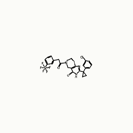 O=C(Cc1cccc(S(F)(F)(F)(F)F)c1)N1CCCc2nc(C3(c4cccc(Cl)c4)CC3)[nH]c(=O)c2C1